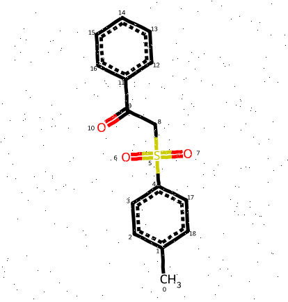 Cc1ccc(S(=O)(=O)CC(=O)c2ccccc2)cc1